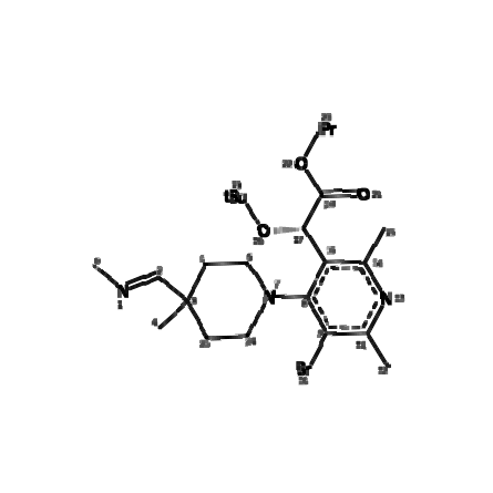 C/N=C/C1(C)CCN(c2c(Br)c(C)nc(C)c2[C@H](OC(C)(C)C)C(=O)OC(C)C)CC1